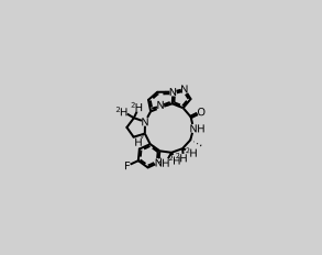 [2H]C1([2H])CC[C@@H]2c3cc(F)cnc3C([2H])([2H])C([2H])([2H])[C@@H](C)NC(=O)c3cnn4ccc(nc34)N21